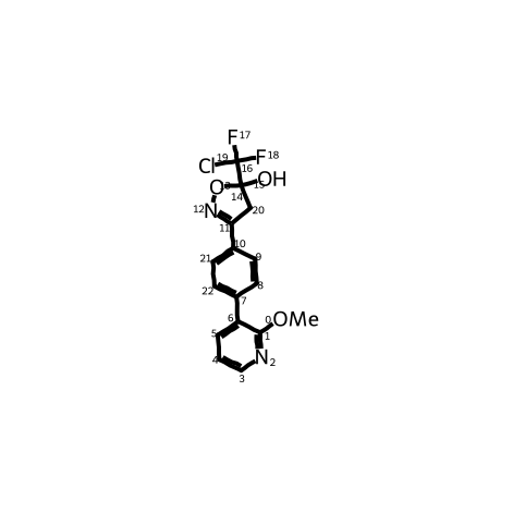 COc1ncccc1-c1ccc(C2=NOC(O)(C(F)(F)Cl)C2)cc1